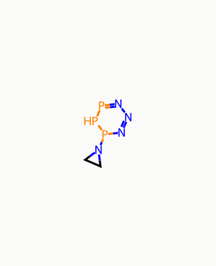 C1CN1P1N=NN=PP1